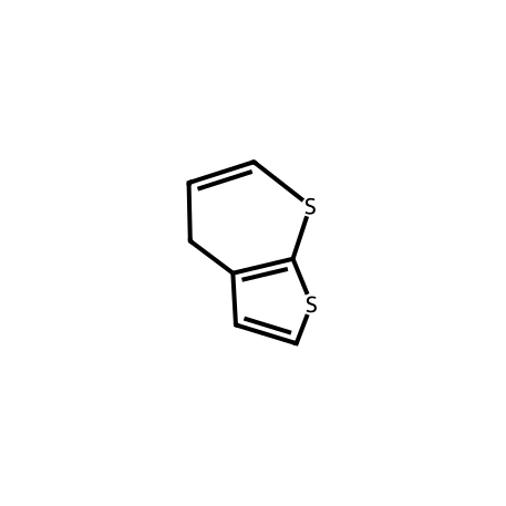 C1=CSc2sccc2C1